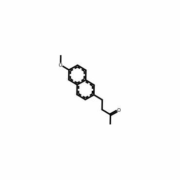 COc1ccc2cc(CCC(C)=O)ccc2c1